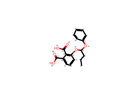 CCCC(Oc1ccccc1)Oc1cccc(C(=O)O)c1C(=O)O